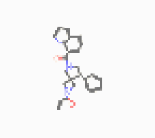 C=CC(=O)N1CC2(C1)CN(C(=O)c1cccc3cccnc13)C[C@H]2c1ccccc1